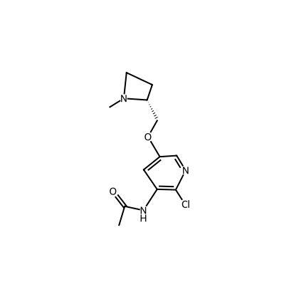 CC(=O)Nc1cc(OC[C@H]2CCN2C)cnc1Cl